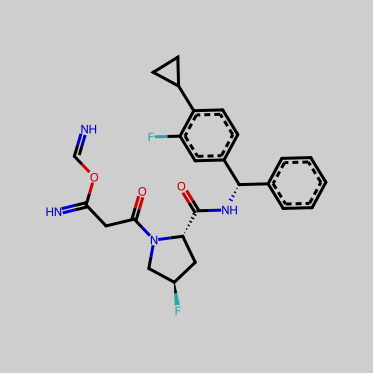 N=COC(=N)CC(=O)N1C[C@H](F)C[C@H]1C(=O)N[C@@H](c1ccccc1)c1ccc(C2CC2)c(F)c1